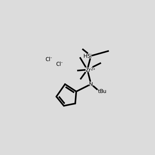 C[SiH](C)[Zr+2]([CH3])([CH3])([CH3])([CH3])[N](C1=CC=CC1)C(C)(C)C.[Cl-].[Cl-]